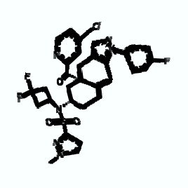 Cn1ccc(S(=O)(=O)N(C2CC(F)(F)C2)[C@H]2CCC3=Cc4c(cnn4-c4ccc(F)cc4)C[C@]3(C(=O)c3cc(Cl)ccn3)C2)n1